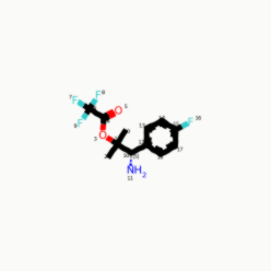 CC(C)(OC(=O)C(F)(F)F)[C@@H](N)c1ccc(F)cc1